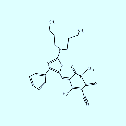 CCCCN(CCCC)c1nc(-c2ccccc2)c(/C=C2\C(=O)N(C)C(=O)C(C#N)=C2C)s1